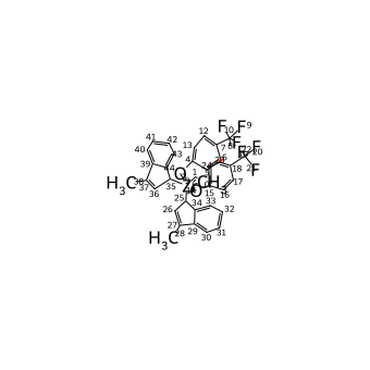 C[CH]=[Zr]([O]c1ccc(C(F)(F)F)cc1)([O]c1ccc(C(F)(F)F)cc1)([CH]1C=C(C)c2ccccc21)[CH]1C=C(C)c2ccccc21